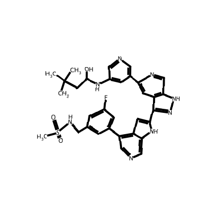 CC(C)(C)CC(O)Nc1cncc(-c2cc3c(-c4cc5c(-c6cc(F)cc(CNS(C)(=O)=O)c6)cncc5[nH]4)n[nH]c3cn2)c1